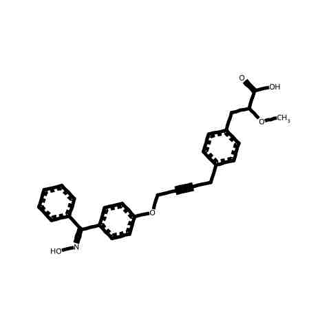 COC(Cc1ccc(CC#CCOc2ccc(C(=NO)c3ccccc3)cc2)cc1)C(=O)O